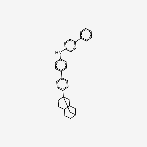 c1ccc(-c2ccc(Nc3ccc(-c4ccc(C56CCC7CCC(CC7C5)C6)cc4)cc3)cc2)cc1